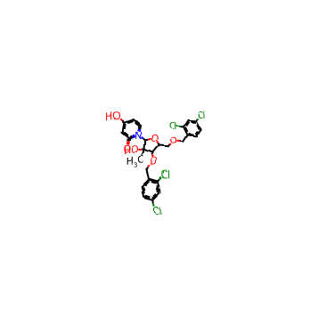 CC1(O)C(OCc2ccc(Cl)cc2Cl)C(COCc2ccc(Cl)cc2Cl)OC1n1ccc(O)cc1=O